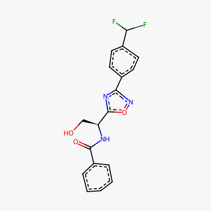 O=C(N[C@@H](CO)c1nc(-c2ccc(C(F)F)cc2)no1)c1ccccc1